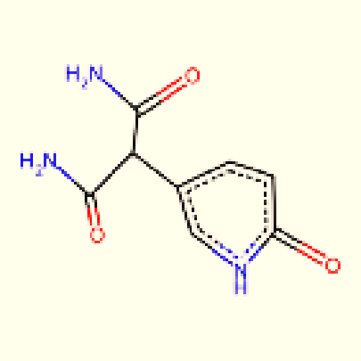 NC(=O)[C](C(N)=O)c1ccc(=O)[nH]c1